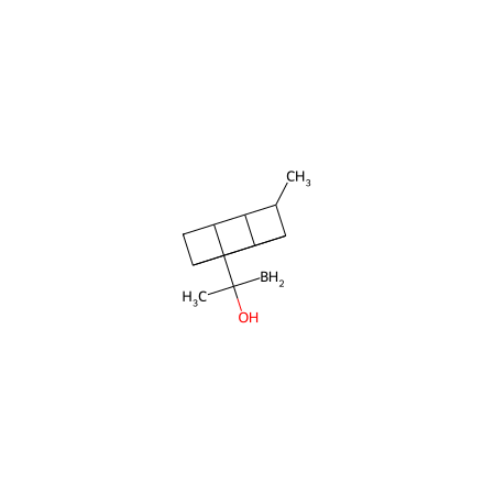 BC(C)(O)C12C3CC1C1C(C)C3C12